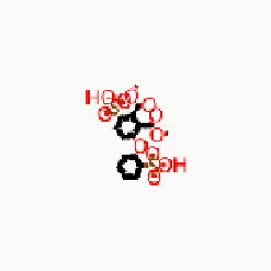 COC(=O)c1c(Oc2ccccc2S(=O)(=O)O)ccc(S(=O)(=O)O)c1C(=O)OC